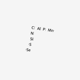 [Al].[C].[Mn].[N].[P].[S].[Se].[Si]